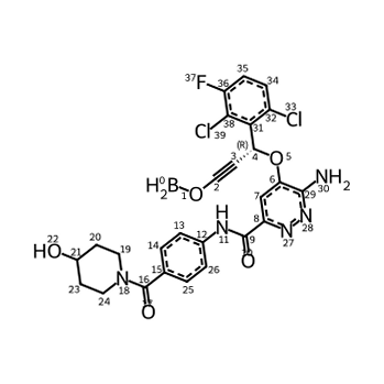 BOC#C[C@@H](Oc1cc(C(=O)Nc2ccc(C(=O)N3CCC(O)CC3)cc2)nnc1N)c1c(Cl)ccc(F)c1Cl